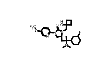 CN(C)[C@]1(C2CCCC(F)C2)C[C@@]2(CN(c3ccc(OC(F)(F)F)cn3)C(=O)N2CC2(O)CCC2)C1